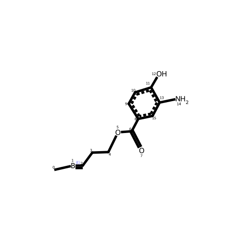 C/B=C/CCOC(=O)c1ccc(O)c(N)c1